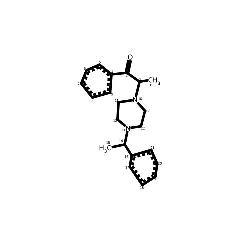 CC(C(=O)c1ccccc1)N1CCN(C(C)c2ccccc2)CC1